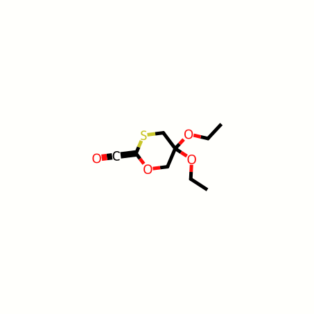 CCOC1(OCC)COC(=C=O)SC1